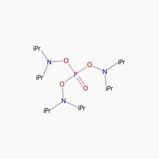 CC(C)N(OP(=O)(ON(C(C)C)C(C)C)ON(C(C)C)C(C)C)C(C)C